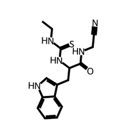 CCNC(=S)NC(Cc1c[nH]c2ccccc12)C(=O)NCC#N